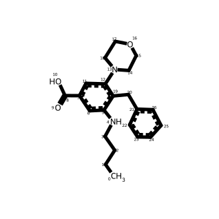 CCCCNc1cc(C(=O)O)cc(N2CCOCC2)c1Cc1ccccc1